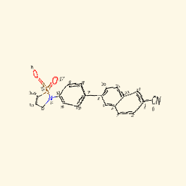 N#Cc1ccc2cc(-c3ccc(N4CCCS4(=O)=O)cc3)ccc2c1